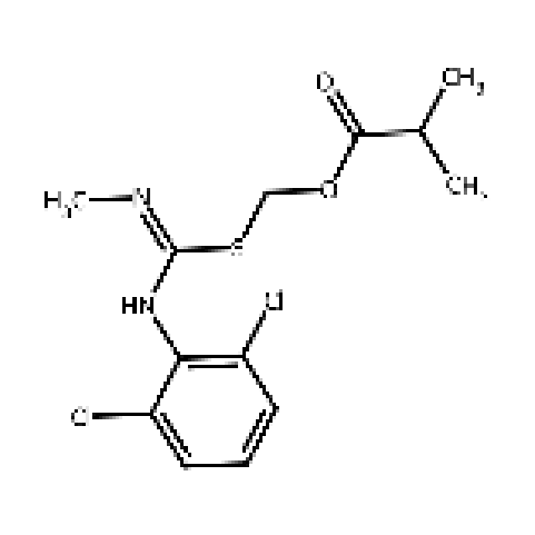 C/N=C(\Nc1c(Cl)cccc1Cl)SCOC(=O)C(C)C